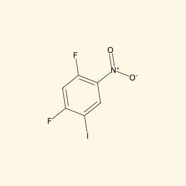 O=[N+]([O-])c1cc(I)c(F)cc1F